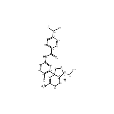 NC1=NC2(c3cc(NC(=O)c4cnc(C(F)F)cn4)ccc3F)CO[C@H](CF)[C@H]2CO1